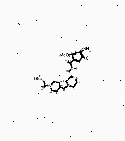 COc1cc(N)c(Cl)cc1C(=O)NC[C@H]1CN(CC2CCN(C(=O)OC(C)(C)C)CC2)CCO1